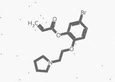 C=CC(=O)Oc1cc(Br)ccc1OCCN1CCCC1